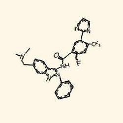 CN(C)Cc1ccc2c(NC(=O)c3cc(-c4ncccn4)c(C(F)(F)F)cc3F)n(-c3ccccc3)nc2c1